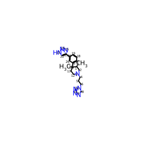 CC1CN(CCCn2cnnn2)CCC1(C)c1cccc(-c2c[nH]nn2)c1